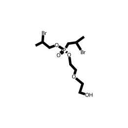 CC(Br)COP(=O)(CC(C)Br)OCCOCCO